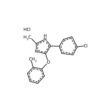 Cc1nc(Oc2ccccc2C)c(-c2ccc(Cl)cc2)[nH]1.Cl